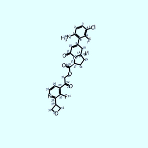 Nc1ccc(Cl)c(F)c1C1=CC(=O)N2[C@H](CC[C@H]2C(=O)OCC(=O)c2ccnc(C3COC3)c2F)C1